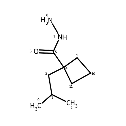 CC(C)CC1(C(=O)NN)CCC1